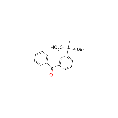 CSC(C)(C(=O)O)c1cccc(C(=O)c2ccccc2)c1